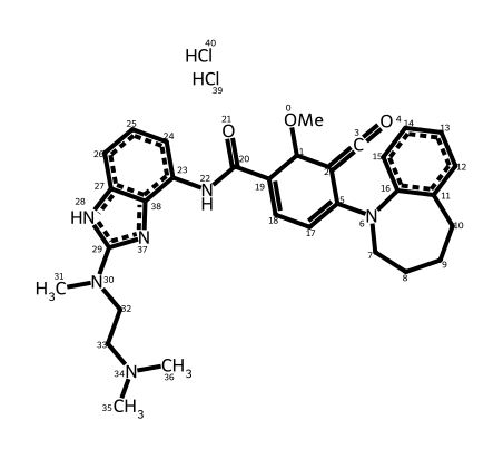 COC1C(=C=O)C(N2CCCCc3ccccc32)=CC=C1C(=O)Nc1cccc2[nH]c(N(C)CCN(C)C)nc12.Cl.Cl